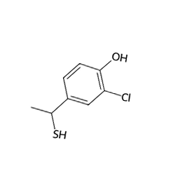 CC(S)c1ccc(O)c(Cl)c1